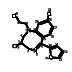 ClCCN1CC(Cl)CN=C(c2ccco2)c2ccc(Cl)cc21